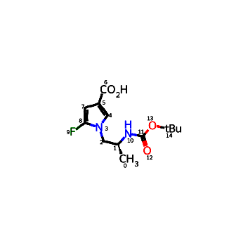 C[C@@H](Cn1cc(C(=O)O)cc1F)NC(=O)OC(C)(C)C